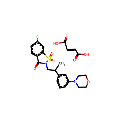 CC(CN1C(=O)c2ccc(Cl)cc2S1(=O)=O)c1cccc(N2CCOCC2)c1.O=C(O)C=CC(=O)O